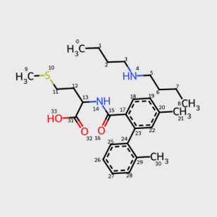 CCCCNCCCC.CSCCC(NC(=O)c1ccc(C)cc1-c1ccccc1C)C(=O)O